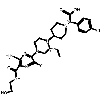 CC[C@H]1CN(c2nc(N)c(C(=O)NCCO)nc2Cl)CCN1C1CCN([C@H](C(=O)O)c2ccc(Cl)cc2)CC1